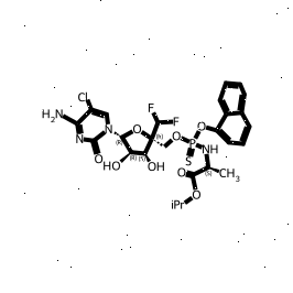 CC(C)OC(=O)[C@H](C)NP(=S)(OC[C@@]1(C(F)F)O[C@@H](n2cc(Cl)c(N)nc2=O)[C@H](O)[C@@H]1O)Oc1cccc2ccccc12